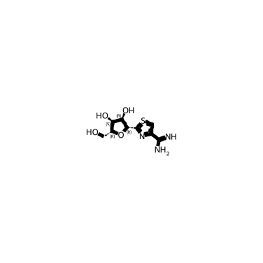 N=C(N)c1csc([C@@H]2O[C@H](CO)[C@@H](O)[C@H]2O)n1